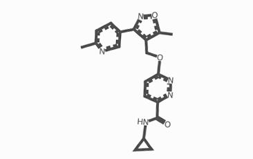 Cc1ccc(-c2noc(C)c2COc2ccc(C(=O)NC3CC3)nn2)cn1